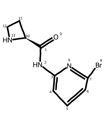 O=C(Nc1cccc(Br)n1)[C@@H]1CCN1